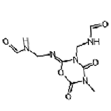 Cn1c(=O)o/c(=N\CNC=O)n(CNC=O)c1=O